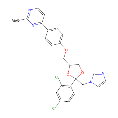 CSc1nccc(-c2ccc(OCC3COC(Cn4ccnc4)(c4ccc(Cl)cc4Cl)O3)cc2)n1